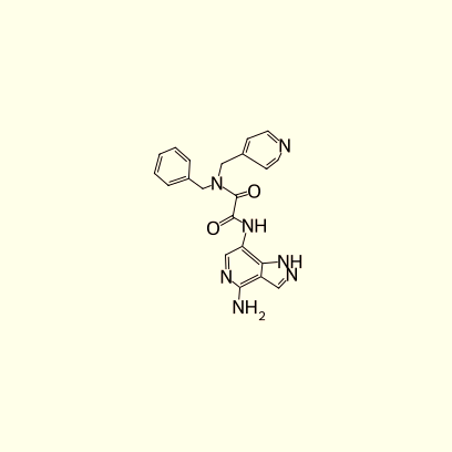 Nc1ncc(NC(=O)C(=O)N(Cc2ccccc2)Cc2ccncc2)c2[nH]ncc12